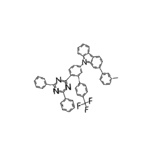 Cc1cccc(-c2ccc3c4ccccc4n(-c4ccc(-c5nc(-c6ccccc6)nc(-c6ccccc6)n5)c(-c5ccc(C(F)(F)F)cc5)c4)c3c2)c1